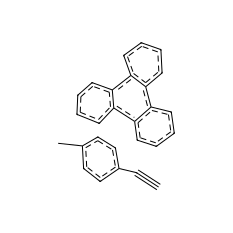 C#Cc1ccc(C)cc1.c1ccc2c(c1)c1ccccc1c1ccccc21